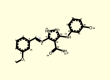 COc1cccc(/C=N/c2[nH]nc(Nc3cccc(Cl)c3)c2C(N)=O)c1